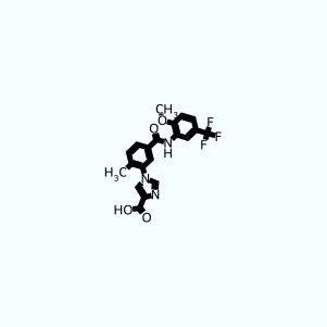 COc1ccc(C(F)(F)F)cc1NC(=O)c1ccc(C)c(-n2cnc(C(=O)O)c2)c1